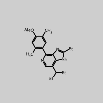 CCc1nc2c(-c3cc(C)c(OC)cc3C)ncc(C(CC)CC)c2[nH]1